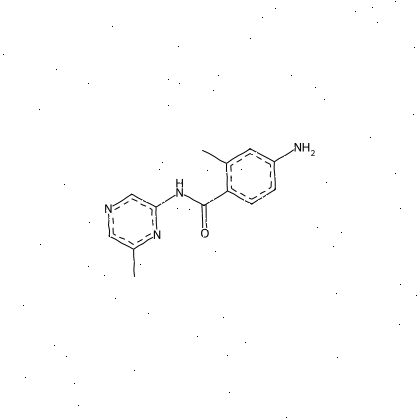 Cc1cncc(NC(=O)c2ccc(N)cc2C)n1